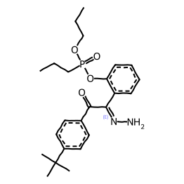 CCCOP(=O)(CCC)Oc1ccccc1/C(=N\N)C(=O)c1ccc(C(C)(C)C)cc1